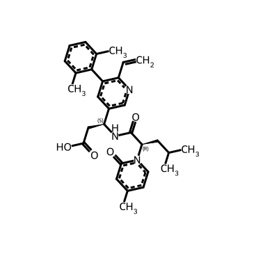 C=Cc1ncc([C@H](CC(=O)O)NC(=O)[C@@H](CC(C)C)n2ccc(C)cc2=O)cc1-c1c(C)cccc1C